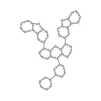 c1ccc(-c2cccc(-c3c4cccc(-c5ccc6oc7ccccc7c6c5)c4cc4c(-c5ccc6oc7ccccc7c6c5)cccc34)c2)cc1